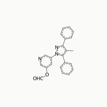 Cc1c(-c2ccccc2)nn(-c2cncc(OC=O)c2)c1-c1ccccc1